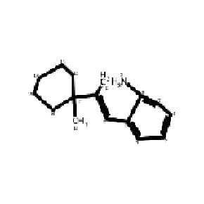 C/C(=C\c1ccccc1N)C1(C)CCCCC1